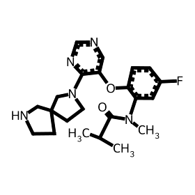 CC(C)C(=O)N(C)c1cc(F)ccc1Oc1cncnc1N1CCC2(CCNC2)C1